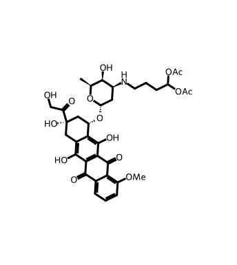 COc1cccc2c1C(=O)c1c(O)c3c(c(O)c1C2=O)C[C@@](O)(C(=O)CO)C[C@@H]3O[C@H]1C[C@H](NCCCC(OC(C)=O)OC(C)=O)[C@H](O)[C@H](C)O1